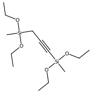 CCO[Si](C)(C#CC[Si](C)(OCC)OCC)OCC